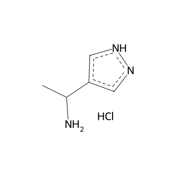 CC(N)c1cn[nH]c1.Cl